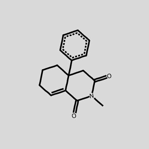 CN1C(=O)CC2(c3ccccc3)CCCC=C2C1=O